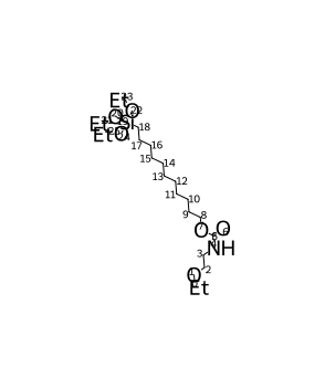 [CH2]COCCNC(=O)OCCCCCCCCCCC[Si](OCC)(OCC)OCC